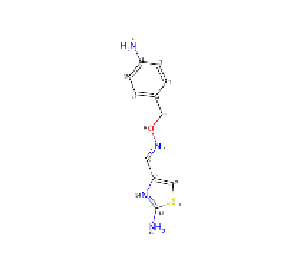 Nc1ccc(CON=Cc2csc(N)n2)cc1